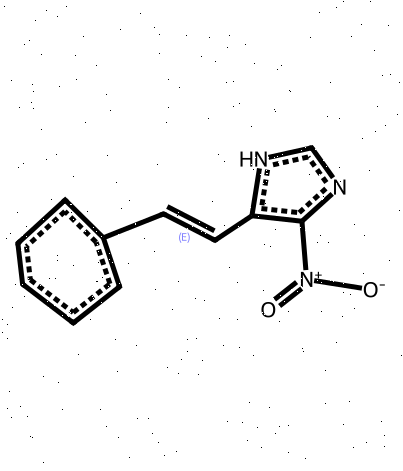 O=[N+]([O-])c1nc[nH]c1/C=C/c1ccccc1